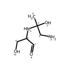 CC(O)(CN)NC(C=O)CO